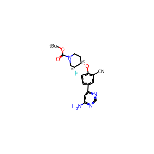 CC(C)(C)OC(=O)N1CC[C@H](Oc2ccc(-c3cc(N)ncn3)cc2C#N)[C@H](F)C1